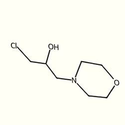 OC(CCl)CN1CCOCC1